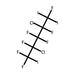 FC(F)(I)C(F)(Cl)C(F)(F)C(F)(Cl)C(F)(I)I